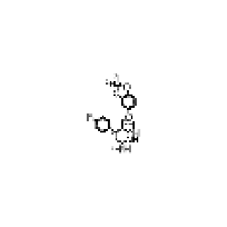 [2H]C1([2H])C[C@@H](c2ccc(F)cc2)C(COc2ccc3c(c2)OC([2H])([2H])O3)C([2H])([2H])N1